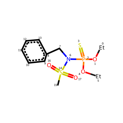 CCOP(=S)(OCC)N(Cc1ccccc1)S(C)(=O)=O